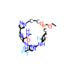 CCOCP1Cc2ccc(c(F)c2)Nc2ncc(C(F)(F)F)c(n2)Nc2ccc(nc2C(=O)NC)-c2cnn(c2)CCCCO1